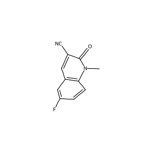 Cn1c(=O)c(C#N)cc2cc(F)ccc21